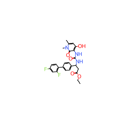 CCOC(=O)CC(NC(=O)Nc1c(O)cc(C)n(C)c1=O)c1ccc(-c2ccc(F)cc2F)cc1